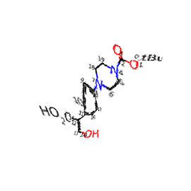 CC(C)(C)OC(=O)N1CCN(c2ccc(/C(=C\O)C(=O)O)cc2)CC1